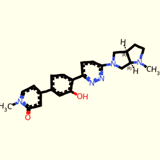 CN1CC[C@@H]2CN(c3ccc(-c4ccc(-c5ccn(C)c(=O)c5)cc4O)nn3)C[C@@H]21